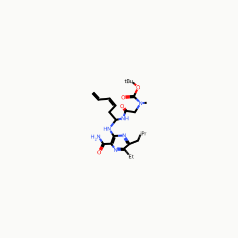 C=C/C=C\CC(NC(=O)CN(C)C(=O)OC(C)(C)C)Nc1nc(CC(C)C)c(CC)nc1C(N)=O